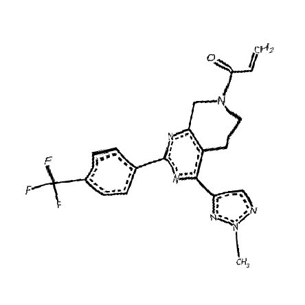 C=CC(=O)N1CCc2c(nc(-c3ccc(C(F)(F)F)cc3)nc2-c2cnn(C)n2)C1